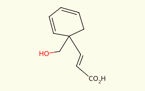 O=C(O)/C=C/C1(CO)C=CC=CC1